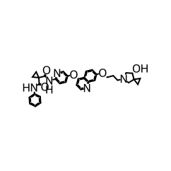 O=C(Nc1ccccc1)C1(C(=O)Nc2ccc(Oc3ccnc4cc(OCCCN5CC(O)C6(CC6)C5)ccc34)cn2)CC1